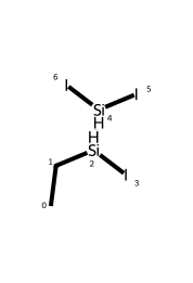 CC[SiH](I)[SiH](I)I